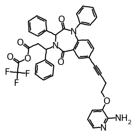 Nc1ncccc1OCCC#Cc1ccc2c(c1)C(=O)N(C(CC(=O)OC(=O)C(F)(F)F)c1ccccc1)C(c1ccccc1)C(=O)N2c1ccccc1